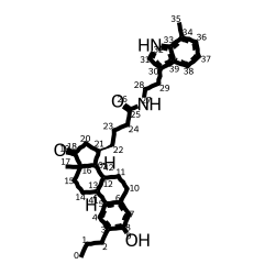 CCCc1cc2c(cc1O)CCC1[C@@H]2CCC2(C)C(=O)C[C@@H](CCCC(=O)NCCc3c[nH]c4c(C)cccc34)[C@@H]12